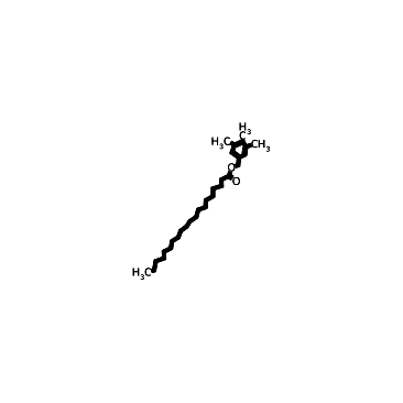 CCCCCCCCCCCCCCCCCCCC(=O)OCc1cc(C)c(C)c(C)c1